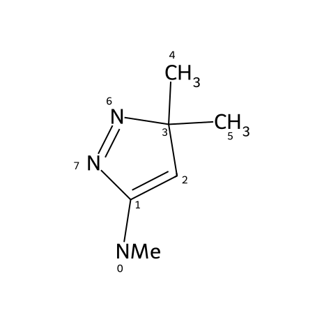 CNC1=CC(C)(C)N=N1